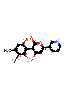 Cc1cc(Br)c(-c2c(O)cc(-c3cccnc3)oc2=O)c(Br)c1C